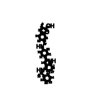 CC(=Cc1ccc(CNc2ccc(-c3cc4c(N[C@H](C)c5ccccc5)ncnc4[nH]3)cc2)cc1)C(=O)O